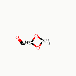 O=C[SiH]1O[SiH2]O1